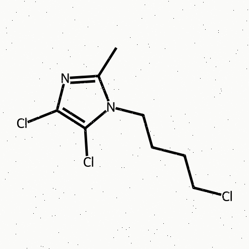 Cc1nc(Cl)c(Cl)n1CCCCCl